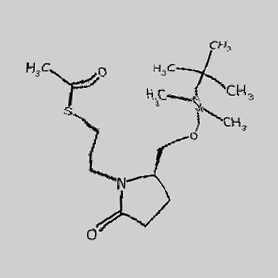 CC(=O)SCCN1C(=O)CC[C@@H]1CO[Si](C)(C)C(C)(C)C